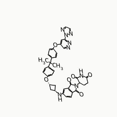 CC(C)(c1ccc(Oc2cnnc(-n3nccn3)c2)cc1)c1ccc(O[C@H]2C[C@H](Nc3ccc4c(c3)C(=O)N(C3CCC(=O)NC3=O)C4=O)C2)cc1